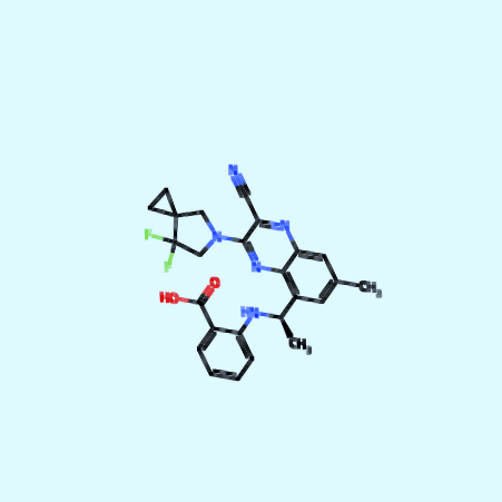 Cc1cc([C@@H](C)Nc2ccccc2C(=O)O)c2nc(N3CC(F)(F)C4(CC4)C3)c(C#N)nc2c1